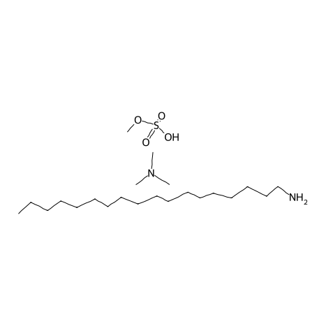 CCCCCCCCCCCCCCCCCCN.CN(C)C.COS(=O)(=O)O